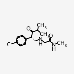 CNC(=O)CNC[C@@H](C(=O)C(C)C)c1ccc(Cl)cc1